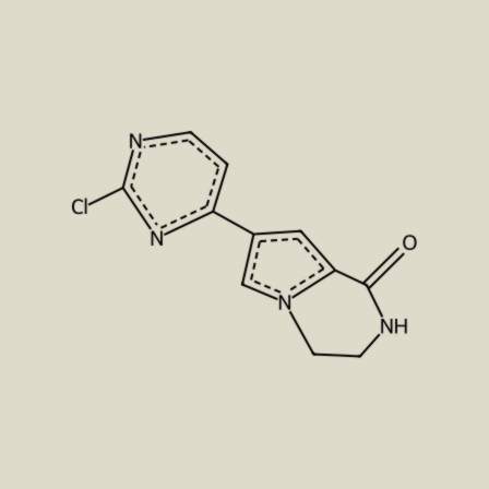 O=C1NCCn2cc(-c3ccnc(Cl)n3)cc21